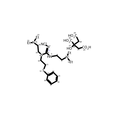 CCN(CC)CCN/C(=N/C#N)N(CCSc1ccccc1)CCN(CC)CC.O=C(O)CC(O)(CC(=O)O)C(=O)O